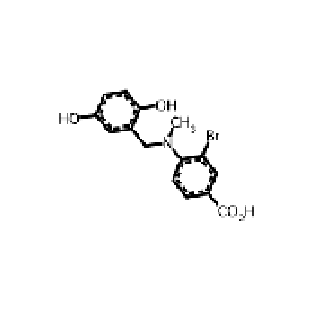 CN(Cc1cc(O)ccc1O)c1ccc(C(=O)O)cc1Br